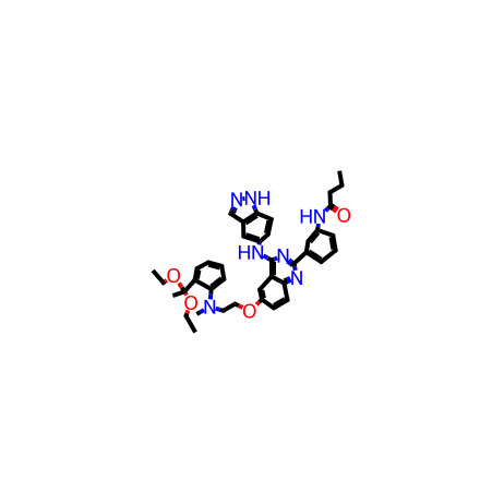 CCCC(=O)Nc1cccc(-c2nc(Nc3ccc4[nH]ncc4c3)c3cc(OCCN(C)c4ccccc4C(C)(OCC)OCC)ccc3n2)c1